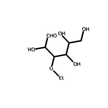 CCOC(C(O)C=O)C(O)C(O)CO